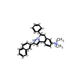 CN(C)c1ccc2c(c1)cc(-c1ccccc1)n1nc(-c3ccc4ccccc4c3)cc21